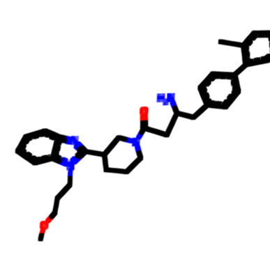 COCCCn1c(C2CCCN(C(=O)CC(N)Cc3ccc(-c4ccccc4C)cc3)C2)nc2ccccc21